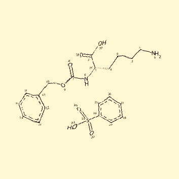 NCCCC[C@H](NC(=O)OCc1ccccc1)C(=O)O.O=S(=O)(O)c1ccccc1